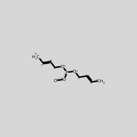 CC=CCOP(OCl)OCC=CC